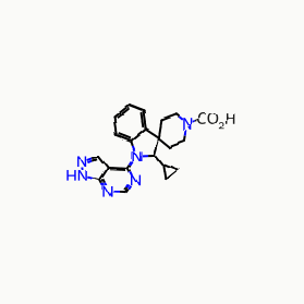 O=C(O)N1CCC2(CC1)c1ccccc1N(c1ncnc3[nH]ncc13)C2C1CC1